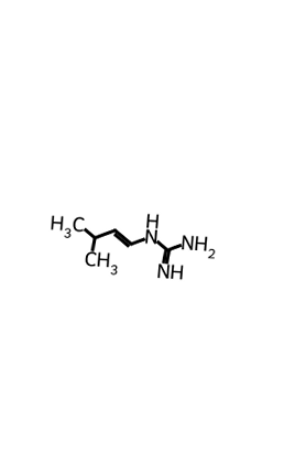 CC(C)C=CNC(=N)N